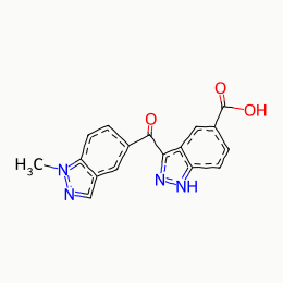 Cn1ncc2cc(C(=O)c3n[nH]c4ccc(C(=O)O)cc34)ccc21